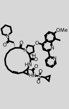 COc1ccc2c(O[C@@H]3C[C@H]4C(=O)N[C@]5(C(=O)NS(=O)(=O)C6CC6)CC5/C=C\CCCCC[C@H](CC(=O)N5CCCCC5)C(=O)N4C3)cc(-c3ccccn3)nc2c1C